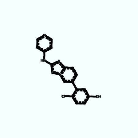 Oc1ccc(Cl)c(-c2ccc3nc(Nc4ccncc4)nn3c2)c1